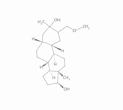 COCC1C[C@H]2[C@H](CC[C@@H]3[C@@H]2CC[C@]2(C)[C@@H](O)CC[C@@H]32)CC1(C)O